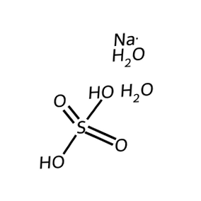 O.O.O=S(=O)(O)O.[Na]